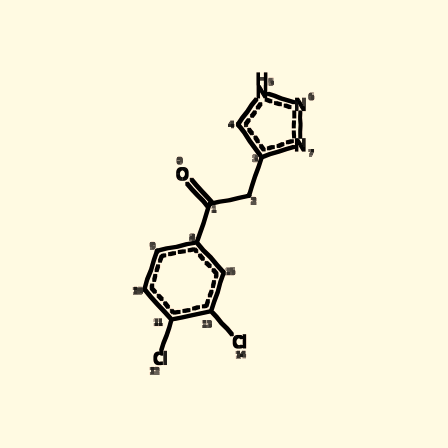 O=C(Cc1c[nH]nn1)c1ccc(Cl)c(Cl)c1